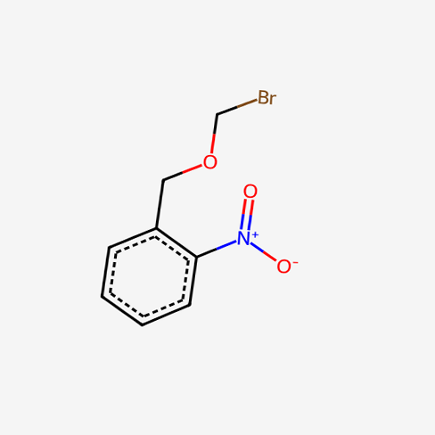 O=[N+]([O-])c1ccccc1COCBr